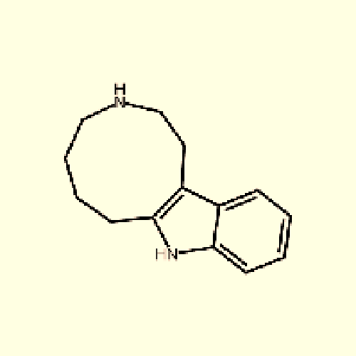 c1ccc2c3c([nH]c2c1)CCCCNCC3